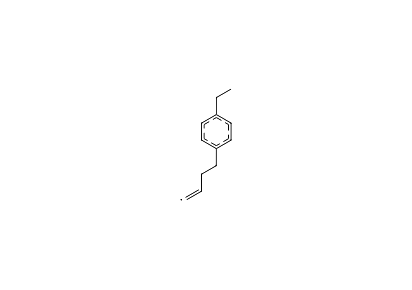 [CH]=CCCc1ccc(CC)cc1